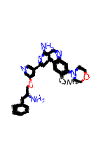 COc1cc2c(cc1N1CCOCC1)ncc1c(N)nc(-c3cncc(OC[C@@H](N)Cc4ccccc4)c3)cc12